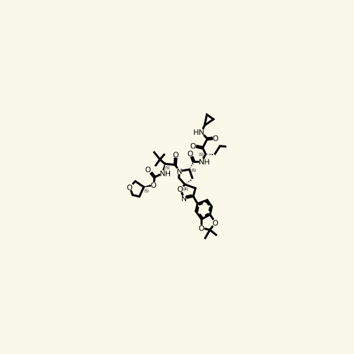 CCC[C@H](NC(=O)[C@@H]1C[C@@]2(CC(c3ccc4c(c3)OC(C)(C)O4)=NO2)CN1C(=O)[C@@H](NC(=O)O[C@H]1CCOC1)C(C)(C)C)C(=O)C(=O)NC1CC1